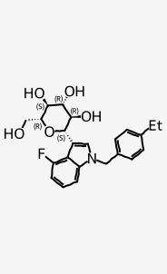 CCc1ccc(Cn2cc([C@@H]3O[C@H](CO)[C@@H](O)[C@H](O)[C@H]3O)c3c(F)cccc32)cc1